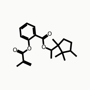 C=C(C)C(=O)Oc1ccccc1C(=O)OC(C)C1(C)CCC(C)C1(C)C